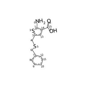 Nc1sc(CSCc2ccccc2)cc1C(=O)O